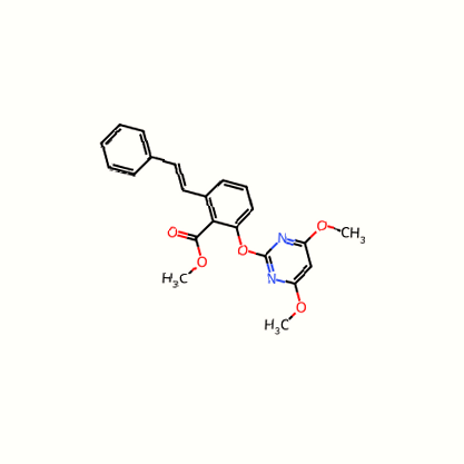 COC(=O)c1c(C=Cc2ccccc2)cccc1Oc1nc(OC)cc(OC)n1